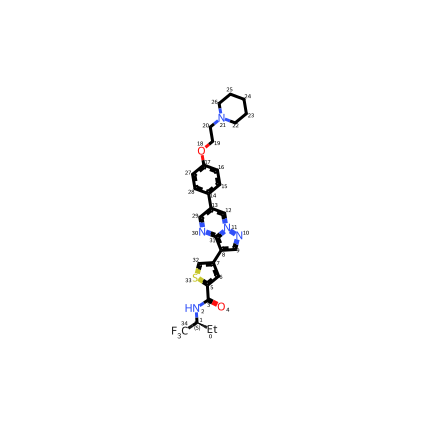 CC[C@H](NC(=O)c1cc(-c2cnn3cc(-c4ccc(OCCN5CCCCC5)cc4)cnc23)cs1)C(F)(F)F